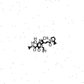 Cc1nn2c(O)c(C(=O)NC3CC3)c(=O)n(CC(C)C)c2c1/C=C/C(=O)N1CCCC12CC2